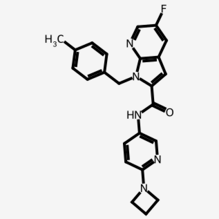 Cc1ccc(Cn2c(C(=O)Nc3ccc(N4CCC4)nc3)cc3cc(F)cnc32)cc1